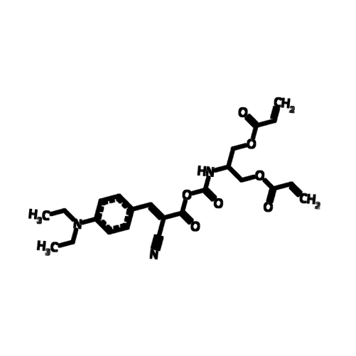 C=CC(=O)OCC(COC(=O)C=C)NC(=O)OC(=O)/C(C#N)=C/c1ccc(N(CC)CC)cc1